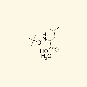 CC(C)CC(NOC(C)(C)C)C(=O)O.O